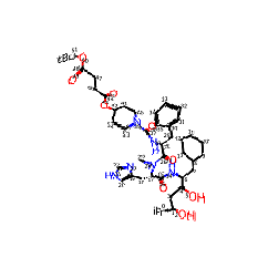 CC(C)C(O)CC(O)[C@H](CC1CCCCC1)NC(=O)[C@H](Cc1c[nH]cn1)N(C)C(=O)[C@H](Cc1ccccc1)NC(=O)N1CCC(OC(=O)CCC(=O)OC(C)(C)C)CC1